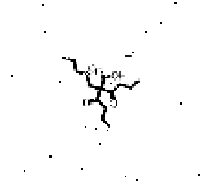 CCCC(=O)[CH]C(C(=O)O)(C(=O)CCC)C(=O)CCC.[Ti]